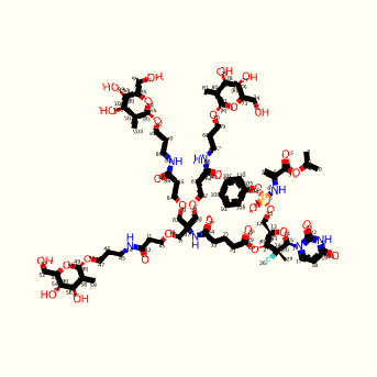 CC(C)OC(=O)C(C)NP(=O)(OC[C@H]1O[C@@H](n2ccc(=O)[nH]c2=O)[C@](C)(F)[C@@H]1OC(=O)CCCC(=O)NC(COCCC(=O)NCCCO[C@@H]1OC(CO)[C@H](O)[C@H](O)C1C)(COCCC(=O)NCCCO[C@@H]1OC(CO)[C@H](O)[C@H](O)C1C)COCCC(=O)NCCCO[C@@H]1OC(CO)[C@H](O)[C@H](O)C1C)Oc1ccccc1